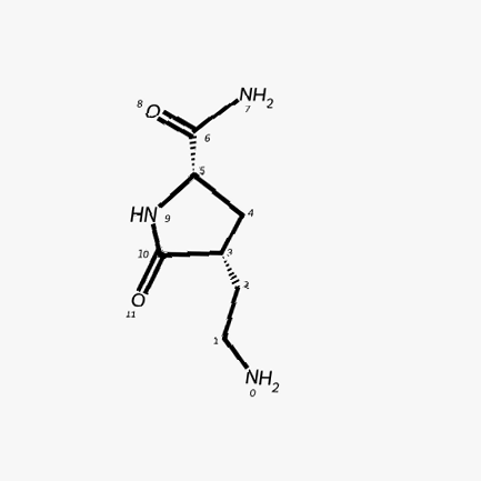 NCC[C@H]1C[C@@H](C(N)=O)NC1=O